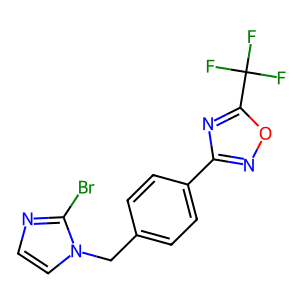 FC(F)(F)c1nc(-c2ccc(Cn3ccnc3Br)cc2)no1